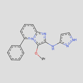 CC(C)Oc1c(Nc2cc[nH]n2)nc2cccc(-c3ccccc3)n12